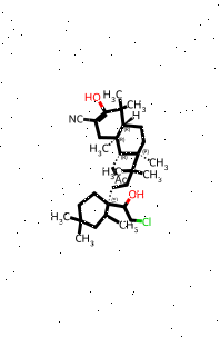 CC(=O)C[C@@H]1[C@@]2(C)CC(C#N)=C(O)C(C)(C)[C@@H]2CC[C@@]1(C)C(C)(C)CC[C@@]1(C(O)CCl)CCC(C)(C)CC1C